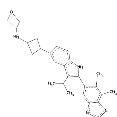 Cc1c(-c2[nH]c3ccc(C4CC(NC5COC5)C4)cc3c2C(C)C)cn2ncnc2c1C